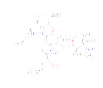 CN[C@@H]1[C@@H](O)[C@@H](O[C@@H]2[C@H](O)[C@H](O[C@H]3O[C@H](CNCCO)CC[C@H]3N)[C@@H](N)C[C@H]2NC(=O)[C@@H](O)CCN)OC[C@]1(C)O